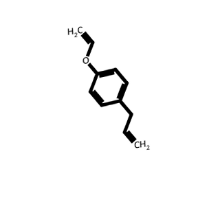 C=CCc1ccc(OC=C)cc1